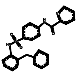 O=C(Nc1ccc(S(=O)(=O)Nc2ccccc2Cc2ccccc2)cc1)c1ccccn1